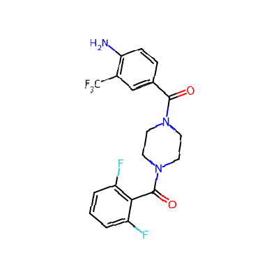 Nc1ccc(C(=O)N2CCN(C(=O)c3c(F)cccc3F)CC2)cc1C(F)(F)F